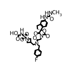 CNC(=O)Nc1ccc2c(c1)CC[C@@]21OC(=O)N(CC(=O)N(Cc2ccc(F)cc2)CC2CN(S(=O)(=O)NC(=O)O)C2)C1=O